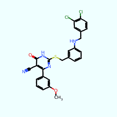 COc1cccc(-c2nc(SCc3cccc(NCc4ccc(Cl)c(Cl)c4)c3)[nH]c(=O)c2C#N)c1